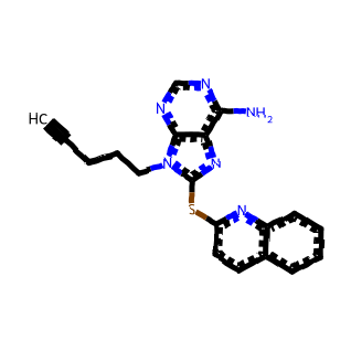 C#CCCCn1c(Sc2ccc3ccccc3n2)nc2c(N)ncnc21